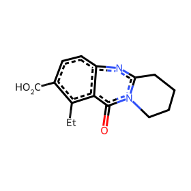 CCc1c(C(=O)O)ccc2nc3n(c(=O)c12)CCCC3